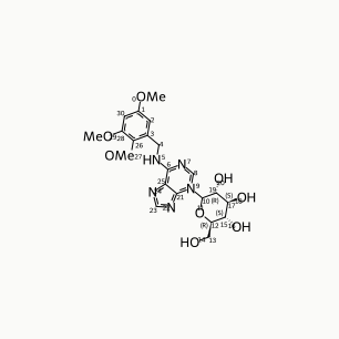 COc1cc(CNc2ncn(C3O[C@H](CO)[C@@H](O)[C@H](O)[C@H]3O)c3ncnc2-3)c(OC)c(OC)c1